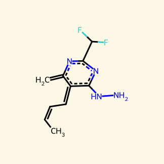 C=c1nc(C(F)F)nc(NN)/c1=C/C=C\C